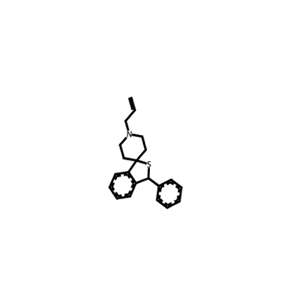 C=CCN1CCC2(CC1)SC(c1ccccc1)c1ccccc12